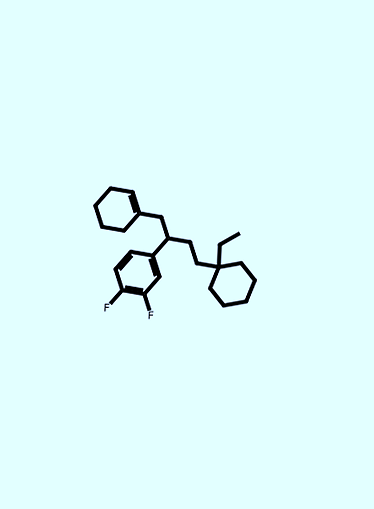 CCC1(CCC(CC2=CCCCC2)c2ccc(F)c(F)c2)CCCCC1